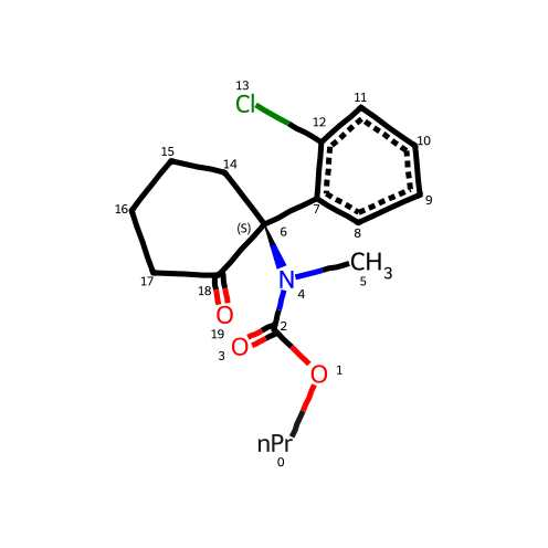 CCCOC(=O)N(C)[C@]1(c2ccccc2Cl)CCCCC1=O